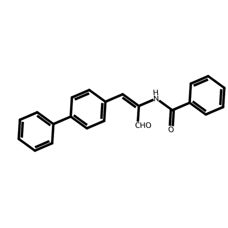 O=C/C(=C\c1ccc(-c2ccccc2)cc1)NC(=O)c1ccccc1